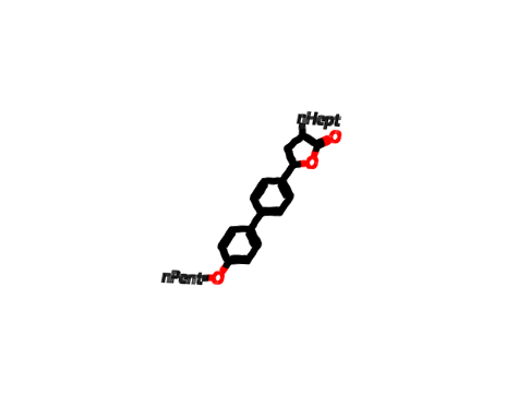 CCCCCCCC1CC(c2ccc(-c3ccc(OCCCCC)cc3)cc2)OC1=O